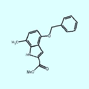 COC(=O)c1cc2c(OCc3ccccc3)ccc(C)c2[nH]1